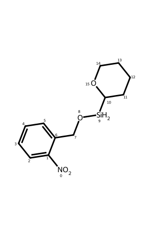 O=[N+]([O-])c1ccccc1CO[SiH2]C1CCCCO1